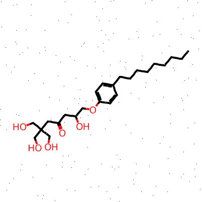 CCCCCCCCCc1ccc(OCC(O)CC(=O)CC(CO)(CO)CO)cc1